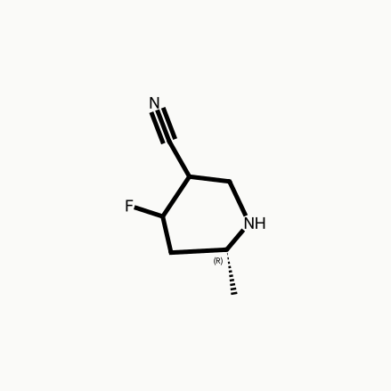 C[C@@H]1CC(F)C(C#N)CN1